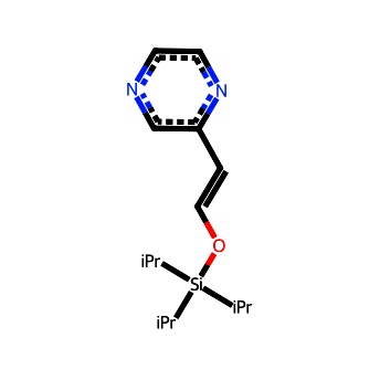 CC(C)[Si](OC=Cc1cnccn1)(C(C)C)C(C)C